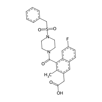 Cc1c(CC(=O)O)cc2ccc(F)cc2c1C(=O)N1CCN(S(=O)(=O)Cc2ccccc2)CC1